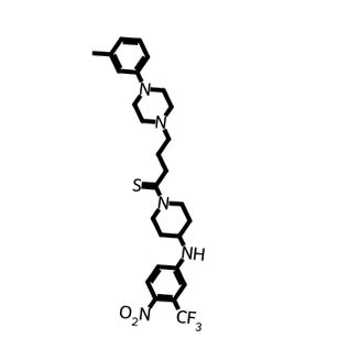 Cc1cccc(N2CCN(CCCC(=S)N3CCC(Nc4ccc([N+](=O)[O-])c(C(F)(F)F)c4)CC3)CC2)c1